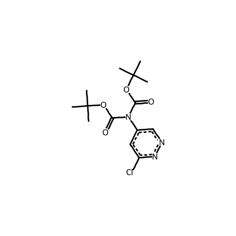 CC(C)(C)OC(=O)N(C(=O)OC(C)(C)C)c1cnnc(Cl)c1